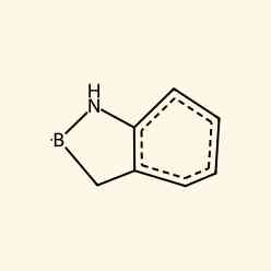 [B]1Cc2ccccc2N1